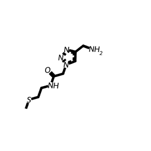 CSCCNC(=O)Cn1cc(CN)nn1